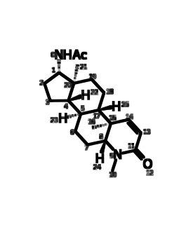 CC(=O)N[C@H]1CC[C@H]2[C@@H]3CC[C@H]4N(C)C(=O)C=C[C@]4(C)[C@H]3CC[C@]12C